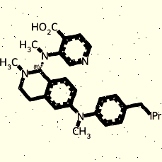 CC(C)Cc1ccc(N(C)c2ccc3c(c2)CCN(C)[C@@H]3N(C)c2cnccc2C(=O)O)cc1